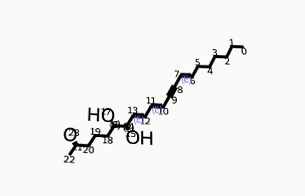 CCCCCC/C=C/C#C/C=C/C=C/[C@@H](O)[C@@H](O)CCCC(C)=O